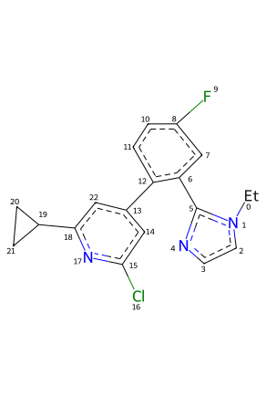 CCn1ccnc1-c1cc(F)ccc1-c1cc(Cl)nc(C2CC2)c1